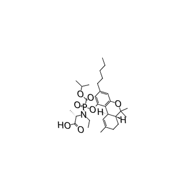 CCCCCc1cc2c(c(OP(=O)(C(=O)OC(C)C)N(CC)[C@@H](C)C(=O)O)c1)[C@@H]1C=C(C)CC[C@H]1C(C)(C)O2